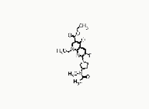 CCOC(=O)c1cn(CC)c2nc(N3CCC(N(C)C(C)=O)C3)c(F)cc2c1=O